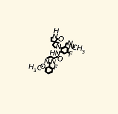 COc1cccc(F)c1-c1nccc(C(=O)Nc2cc(F)c3c(cnn3C)c2N2CCC3(CCNC3=O)C2)n1